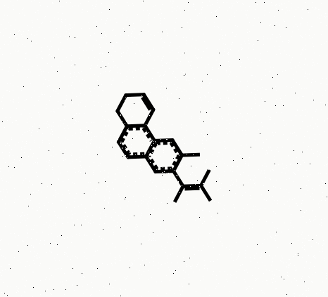 CC(C)=C(C)c1cc2ccc3c(c2cc1C)C=CCC3